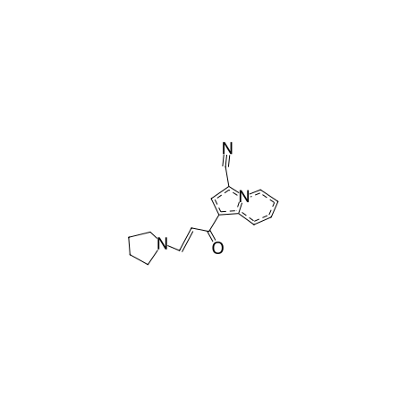 N#Cc1cc(C(=O)C=CN2CCCC2)c2ccccn12